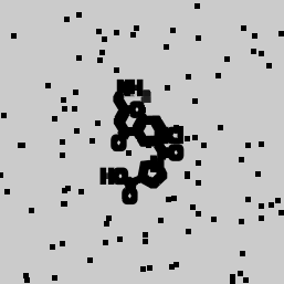 Cl.NCc1cc(=O)c2cc(C(=O)N3CC[C@@H](C(=O)O)C3)ccc2o1